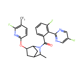 CC1C2CC(Oc3ccc(C(F)(F)F)c(F)n3)C(C2)N1C(=O)c1cccc(F)c1-c1ncc(F)cn1